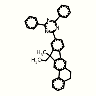 CCC1(C)c2cc(-c3nc(-c4ccccc4)nc(-c4ccccc4)n3)ccc2-c2cc3c(cc21)-c1ccccc1CC3